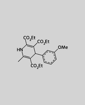 CCOC(=O)C1=C(C(=O)OCC)C(c2cccc(OC)c2)C(C(=O)OCC)=C(C)N1